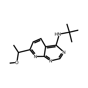 COC(C)c1ccc2c(NC(C)(C)C)ncnc2n1